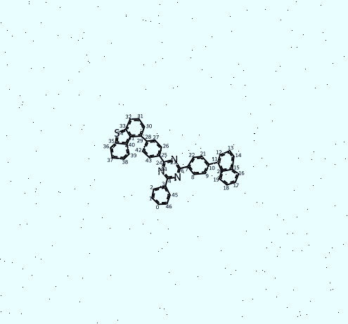 c1ccc(-c2nc(-c3ccc(-c4cccc5ccccc45)cc3)nc(-c3ccc(-c4cccc5sc6ccccc6c45)cc3)n2)cc1